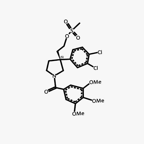 COc1cc(C(=O)N2CC[C@](CCOS(C)(=O)=O)(c3ccc(Cl)c(Cl)c3)C2)cc(OC)c1OC